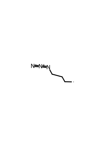 [CH2]CCCN=[N+]=[N-]